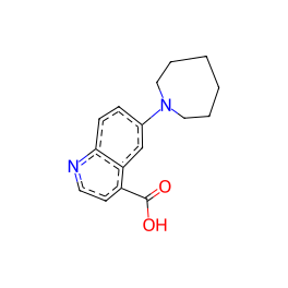 O=C(O)c1ccnc2ccc(N3CCCCCC3)cc12